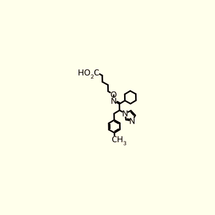 Cc1ccc(CC(C(=NOCCCCC(=O)O)C2CCCCC2)n2ccnc2)cc1